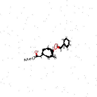 COC(=O)Cc1ccc(OCc2ccccc2)c(C)c1